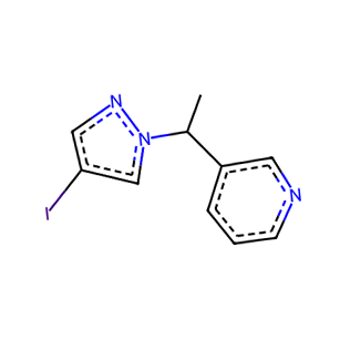 CC(c1cccnc1)n1cc(I)cn1